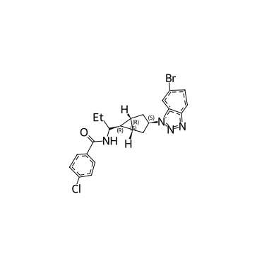 CCC(NC(=O)c1ccc(Cl)cc1)[C@H]1[C@@H]2C[C@@H](n3nnc4ccc(Br)cc43)C[C@@H]21